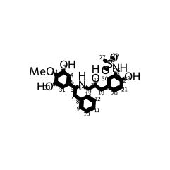 COc1c(O)cc(C(Cc2ccccc2)NCC(O)Cc2ccc(O)c(NS(C)(=O)=O)c2)cc1O